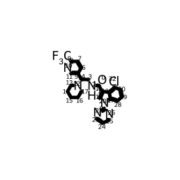 O=C(NCC(c1ccc(C(F)(F)F)nc1)N1CCCCC1)c1cn(-c2ncccn2)c2cccc(Cl)c12